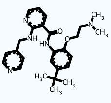 CN(C)CCOc1ccc(C(C)(C)C)cc1NC(=O)c1cccnc1NCc1ccncc1